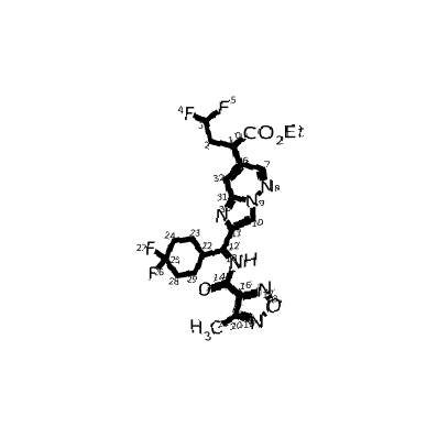 CCOC(=O)C(CC(F)F)c1cnn2cc(C(NC(=O)c3nonc3C)C3CCC(F)(F)CC3)nc2c1